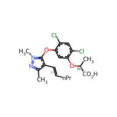 CCC/C=C/c1c(C)nn(C)c1Oc1cc(O[C@@H](C)C(=O)O)c(Cl)cc1Cl